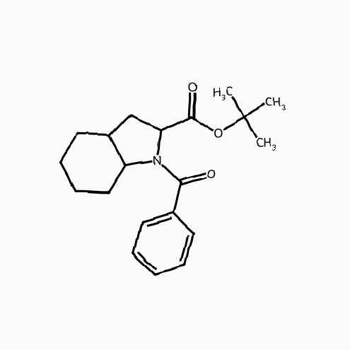 CC(C)(C)OC(=O)C1CC2CCCCC2N1C(=O)c1ccccc1